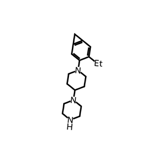 CCc1cc2c(cc1N1CCC(N3CCNCC3)CC1)C2